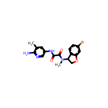 Cc1cc(NC(=O)C(=O)N(C)C2COc3cc(Br)ccc32)cnc1N